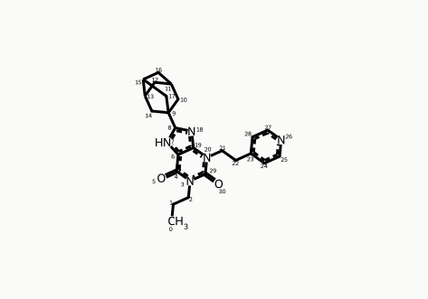 CCCn1c(=O)c2[nH]c(C34CC5CC(C3)C(C5)C4)nc2n(CCc2ccncc2)c1=O